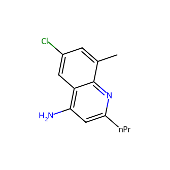 CCCc1cc(N)c2cc(Cl)cc(C)c2n1